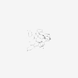 Cc1ccc2c(c1)c1cc(C)ccc1n2-c1c(-n2c3ccccc3c3ccccc32)c(C#N)c(-c2ccccc2)c(C#N)c1-n1c2ccccc2c2ccccc21